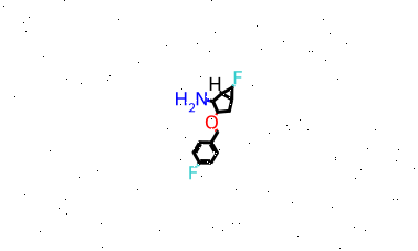 NC1[C@@H]2C(F)C2C[C@H]1OCc1ccc(F)cc1